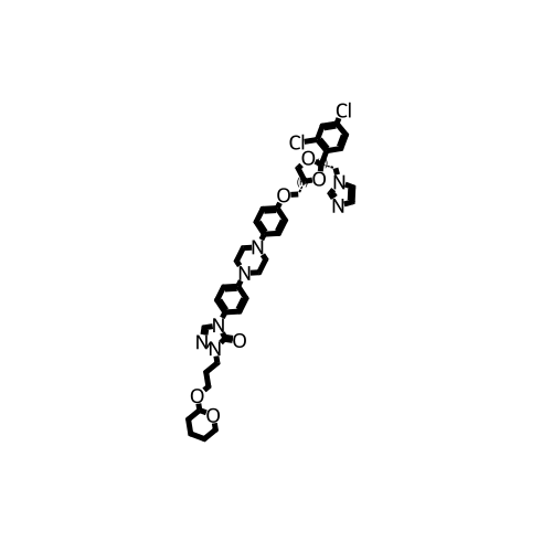 O=c1n(-c2ccc(N3CCN(c4ccc(OC[C@@H]5CO[C@@](Cn6ccnc6)(c6ccc(Cl)cc6Cl)O5)cc4)CC3)cc2)cnn1CCCOC1CCCCO1